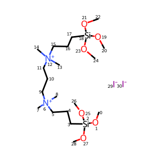 CO[Si](CCC[N+](C)(C)CCC[N+](C)(C)CCC[Si](OC)(OC)OC)(OC)OC.[I-].[I-]